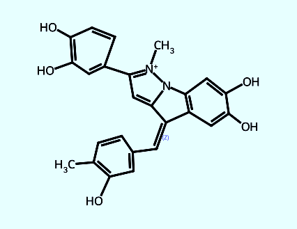 Cc1ccc(/C=c2/c3cc(O)c(O)cc3n3c2cc(-c2ccc(O)c(O)c2)[n+]3C)cc1O